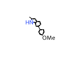 COc1ccc(-c2ccc3cc(C)[nH]c3c2)cc1